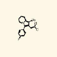 CC(C)c1c(C=C(Cl)Cl)c(-c2ccc(F)cc2)n2c1CCCC2